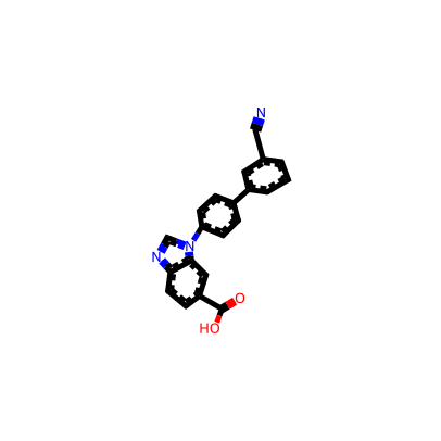 N#Cc1cccc(-c2ccc(-n3cnc4ccc(C(=O)O)cc43)cc2)c1